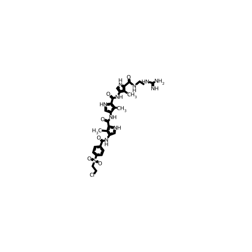 Cc1c(NC(=O)c2ccc(S(=O)(=O)CCCl)cc2)c[nH]c1C(=O)Nc1c[nH]c(C(=O)Nc2c[nH]c(C(=O)NCCNC(=N)N)c2C)c1C